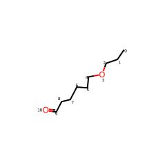 CCCOCCCCCC=O